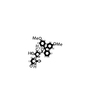 COc1ccc(C(OC[C@H]2S[C@@H](n3ccc(=O)[nH]c3=O)[C@H](O)[C@@H]2C)(c2ccccc2)c2ccc(OC)cc2)cc1